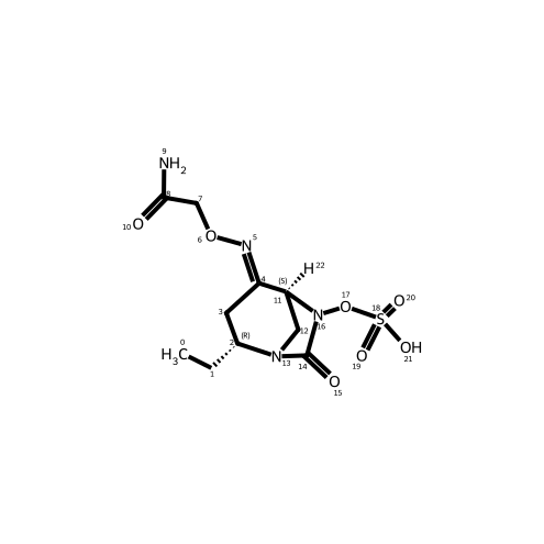 CC[C@@H]1CC(=NOCC(N)=O)[C@@H]2CN1C(=O)N2OS(=O)(=O)O